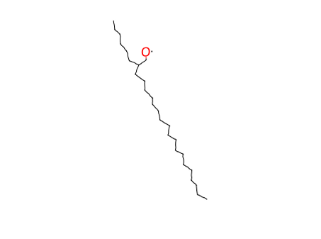 CCCCCCCCCCCCCCCCCCC(C[O])CCCCCC